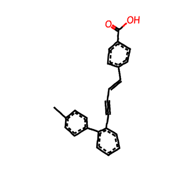 Cc1ccc(-c2ccccc2C#CC=Cc2ccc(C(=O)O)cc2)cc1